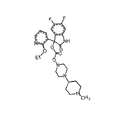 CCOc1ncccc1C1(OC(=O)ON2CCN(C3CCN(C)CC3)CC2)C(=O)Nc2cc(F)c(F)cc21